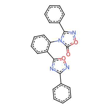 O=c1onc(-c2ccccc2)n1-c1ccccc1-c1nc(-c2ccccc2)no1